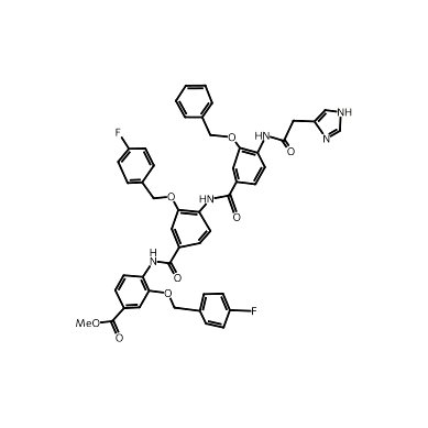 COC(=O)c1ccc(NC(=O)c2ccc(NC(=O)c3ccc(NC(=O)Cc4c[nH]cn4)c(OCc4ccccc4)c3)c(OCc3ccc(F)cc3)c2)c(OCc2ccc(F)cc2)c1